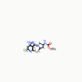 CC1CC(NC(=O)OC(C)(C)C)CN1c1n[nH]c2cc(Cl)ncc12